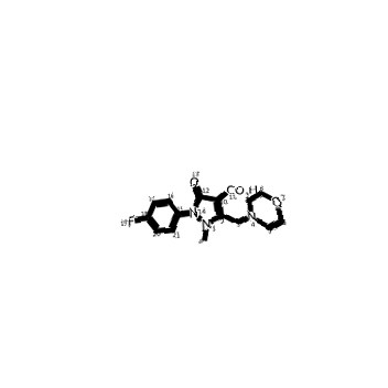 Cn1c(CN2CCOCC2)c(C(=O)O)c(=O)n1-c1ccc(F)cc1